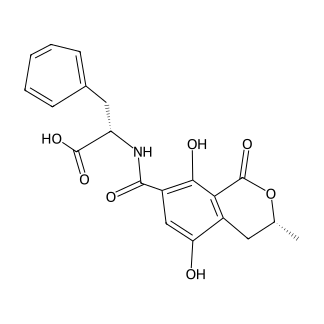 C[C@@H]1Cc2c(O)cc(C(=O)N[C@@H](Cc3ccccc3)C(=O)O)c(O)c2C(=O)O1